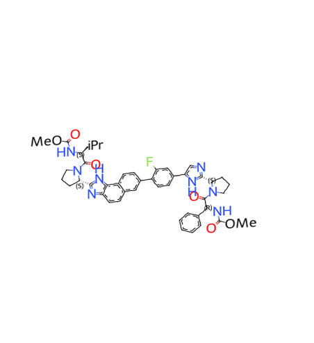 COC(=O)N[C@H](C(=O)N1CCC[C@H]1c1nc2ccc3cc(-c4ccc(-c5cnc([C@@H]6CCCN6C(=O)[C@H](NC(=O)OC)c6ccccc6)[nH]5)cc4F)ccc3c2[nH]1)C(C)C